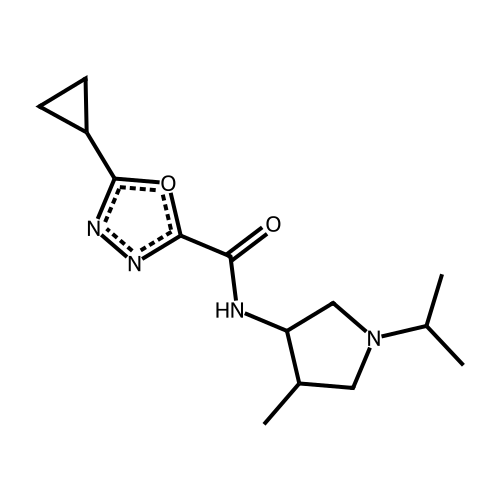 CC1CN(C(C)C)CC1NC(=O)c1nnc(C2CC2)o1